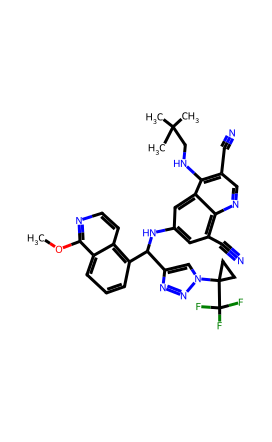 COc1nccc2c(C(Nc3cc(C#N)c4ncc(C#N)c(NCC(C)(C)C)c4c3)c3cn(C4(C(F)(F)F)CC4)nn3)cccc12